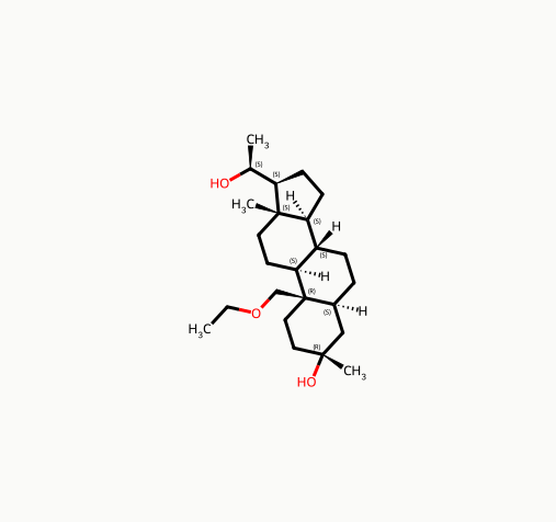 CCOC[C@]12CC[C@@](C)(O)C[C@@H]1CC[C@H]1[C@@H]3CC[C@H]([C@H](C)O)[C@@]3(C)CC[C@@H]12